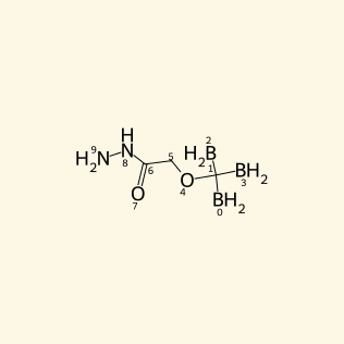 BC(B)(B)OCC(=O)NN